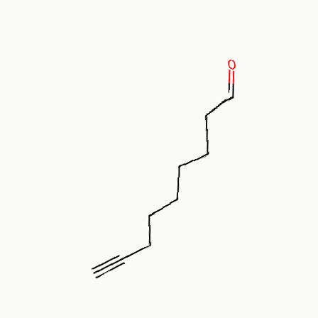 C#CCCCCCCC=O